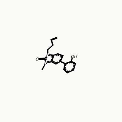 C=CCCn1c(=O)n(C)c2cc(-c3ccccc3O)ccc21